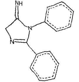 N=C1CN=C(c2ccccc2)N1c1ccccc1